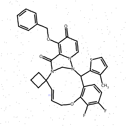 Cc1ccsc1C1c2ccc(F)c(F)c2OC/C=C/C2(CCC2)N2CN1n1ccc(=O)c(OCc3ccccc3)c1C2=O